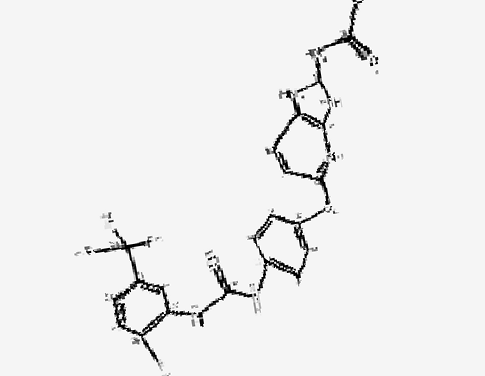 COC(=O)NC1Nc2ccc(Oc3ccc(NC(=O)Nc4cc(C(F)(F)F)ccc4F)cc3)nc2N1